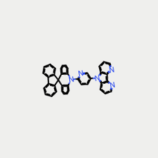 c1ccc2c(c1)-c1ccccc1C21c2ccccc2N(c2ccc(-n3c4cccnc4c4ncccc43)cn2)c2ccccc21